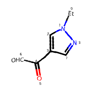 CCn1cc(C(=O)C=O)cn1